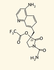 NC(=O)N1CC[C@](Cc2ccc3c(N)ccnc3c2)(OC(=O)C(F)(F)F)C1=O